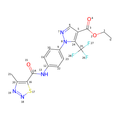 CCOC(=O)c1cnn(-c2ccc(NC(=O)c3snnc3C)cc2)c1C(F)(F)F